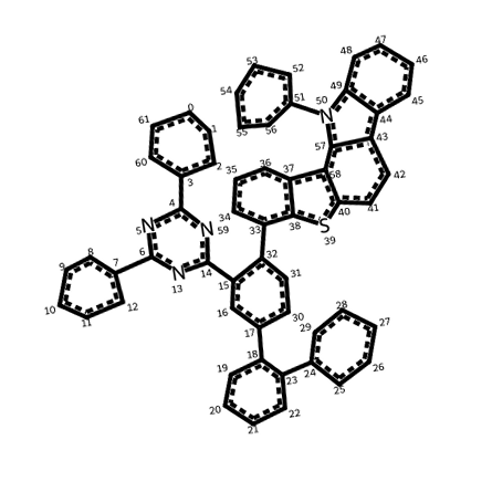 c1ccc(-c2nc(-c3ccccc3)nc(-c3cc(-c4ccccc4-c4ccccc4)ccc3-c3cccc4c3sc3ccc5c6ccccc6n(-c6ccccc6)c5c34)n2)cc1